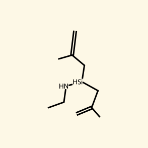 C=C(C)C[SiH](CC(=C)C)NCC